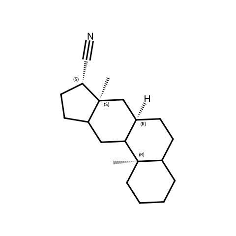 C[C@@]12CCCCC1CC[C@@H]1C[C@@]3(C)C(CC[C@@H]3C#N)CC12